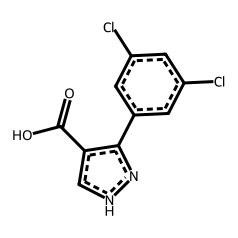 O=C(O)c1c[nH]nc1-c1cc(Cl)cc(Cl)c1